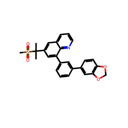 CC(C)(c1cc(-c2cccc(-c3ccc4c(c3)OCO4)c2)c2ncccc2c1)S(C)(=O)=O